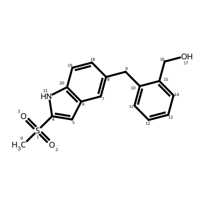 CS(=O)(=O)c1cc2cc(Cc3ccccc3CO)ccc2[nH]1